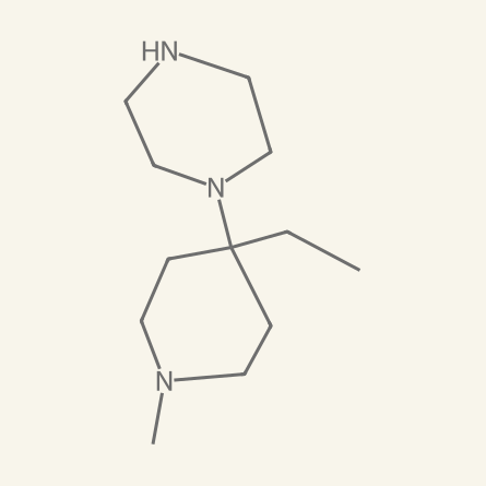 CCC1(N2CCNCC2)CCN(C)CC1